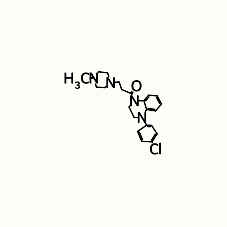 CN1CCN(CCC(=O)N2CCN(c3ccc(Cl)cc3)c3ccccc32)CC1